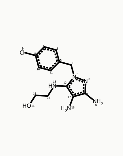 Nc1nn(Cc2ccc(Cl)cc2)c(NCCO)c1N